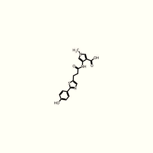 Cn1cc(NC(=O)CCc2cnc(-c3ccc(O)cc3)s2)c(C(=O)O)c1